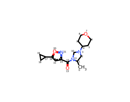 CC1CN(C2CCOCC2)CN1C(=O)c1cc(C2CC2)on1